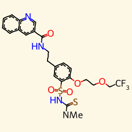 CNC(=S)NS(=O)(=O)c1cc(CCNC(=O)c2cnc3ccccc3c2)ccc1OCCOCC(F)(F)F